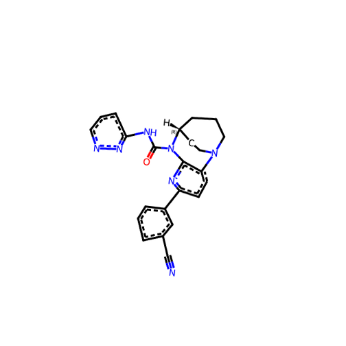 N#Cc1cccc(-c2ccc3c(n2)N(C(=O)Nc2cccnn2)[C@@H]2CCCN3CC2)c1